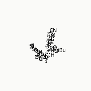 CC(C)(C)OC(=O)NC(COC[C@@H]1CCCN1c1cnn(COCC[Si](C)(C)C)c(=O)c1C(F)(F)F)CC(=O)N1CCN(c2ccc(C#N)cn2)CC1